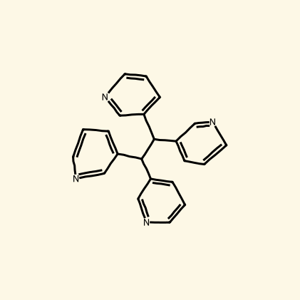 c1cncc(C(c2cccnc2)C(c2cccnc2)c2cccnc2)c1